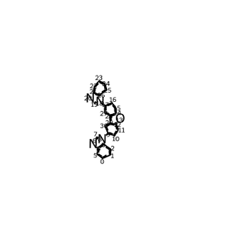 c1ccc2c(c1)ncn2-c1ccc2oc3ccc(-n4cnc5ccccc54)cc3c2c1